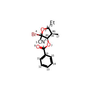 CC[C@H]1OC(Br)(C#N)[C@H](OC(=O)c2ccccc2)[C@@H]1C